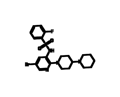 O=S(=O)(Nc1cc(Br)cnc1N1CCC(N2CCCCC2)CC1)c1ccccc1F